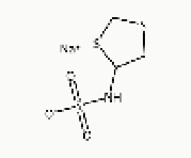 O=S(=O)([O-])NC1CSCS1.[Na+]